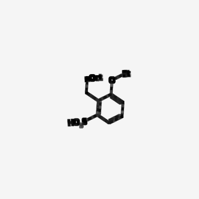 CCCCCCCCCc1c(OCC)cccc1S(=O)(=O)O